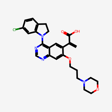 C=C(C(=O)O)c1cc2c(N3CCc4ccc(Cl)cc43)ncnc2cc1OCCCN1CCOCC1